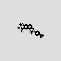 CBc1ccc(N(Cc2ccc3cc(O)c(C(=O)O)cc3c2)C(C)=O)cc1